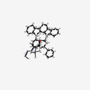 C/C=C\C=C(/C)c1nc(-c2ccccc2)nc(-n2c3ccccc3c3ccc4c5ccccc5n(-c5ccc(C(C)(C)C)cc5)c4c32)n1